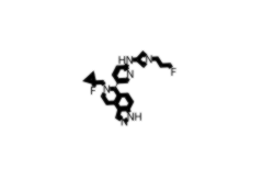 FCCCN1CC(Nc2ccc([C@@H]3c4ccc5[nH]ncc5c4CCN3CC3(F)CC3)cn2)C1